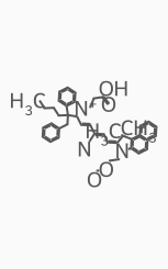 CCCCC1(Cc2ccccc2)C(/C=C/C(C#N)=C/C=C2/N(CCOC=O)c3ccc4ccccc4c3C2(C)C)=[N+](CCC(=O)O)c2ccccc21